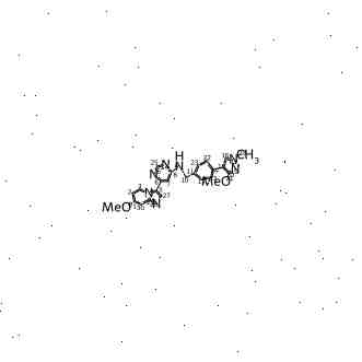 COc1ccn2c(-c3cc(NCc4ccc(-c5cn(C)nc5OC)cc4)ncn3)cnc2c1